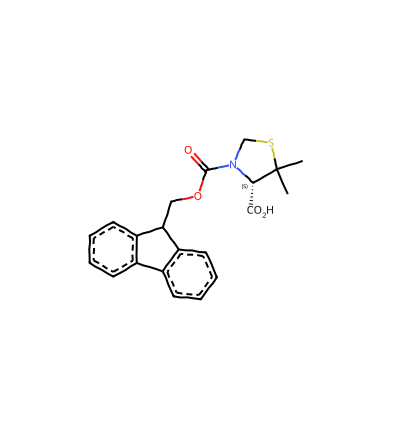 CC1(C)SCN(C(=O)OCC2c3ccccc3-c3ccccc32)[C@H]1C(=O)O